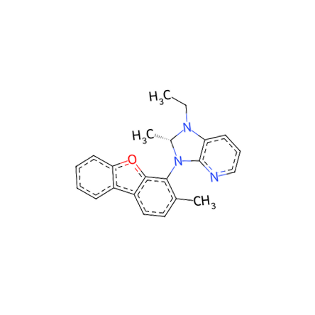 CCN1c2cccnc2N(c2c(C)ccc3c2oc2ccccc23)[C@@H]1C